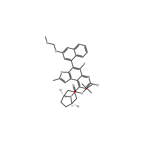 COCOc1cc(-c2c(F)c3nc(Cl)nc(N4C[C@H]5CC[C@@H](C4)N5C(=O)OC(C)(C)C)c3c3cc(C)oc23)c2ccccc2c1